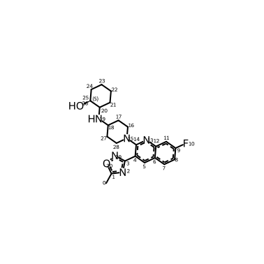 Cc1nc(-c2cc3ccc(F)cc3nc2N2CCC(NC3CCCC[C@@H]3O)CC2)no1